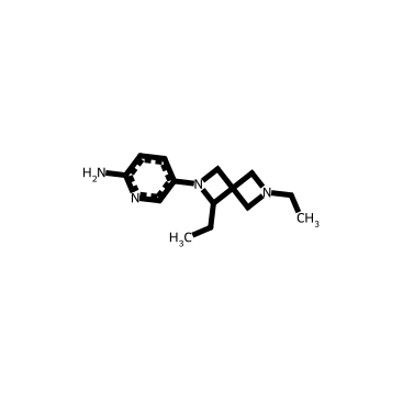 CCC1N(c2ccc(N)nc2)CC12CN(CC)C2